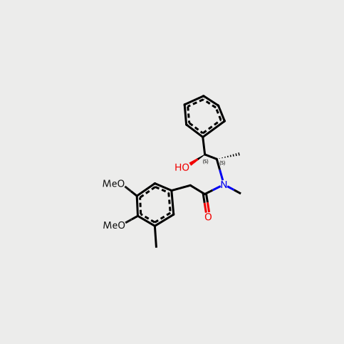 COc1cc(CC(=O)N(C)[C@@H](C)[C@@H](O)c2ccccc2)cc(C)c1OC